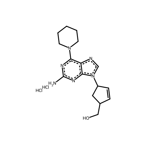 Cl.Cl.Nc1nc(N2CCCCC2)c2ncn(C3C=CC(CO)C3)c2n1